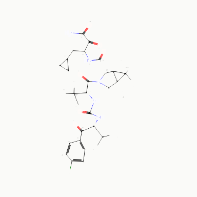 CC(C)[C@H](NC(=O)N[C@H](C(=O)N1C[C@H]2[C@@H]([C@H]1C(=O)NC(CC1CC1)C(=O)C(N)=O)C2(C)C)C(C)(C)C)C(=O)c1ccc(Cl)cc1